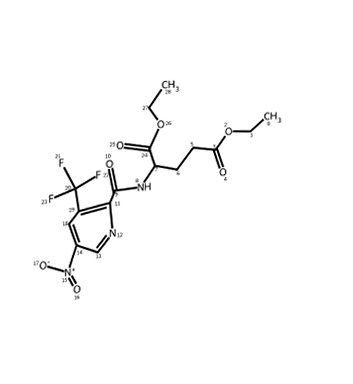 CCOC(=O)CCC(NC(=O)c1ncc([N+](=O)[O-])cc1C(F)(F)F)C(=O)OCC